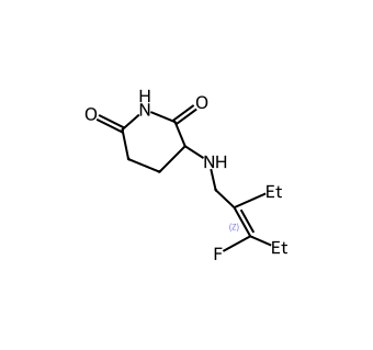 CC/C(F)=C(\CC)CNC1CCC(=O)NC1=O